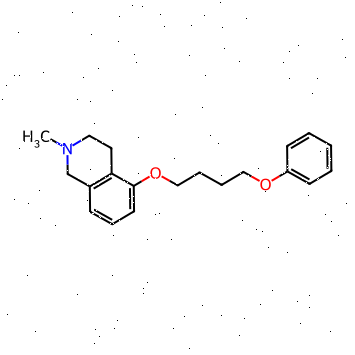 CN1CCc2c(cccc2OCCCCOc2ccccc2)C1